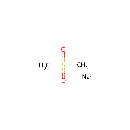 CS(C)(=O)=O.[Na]